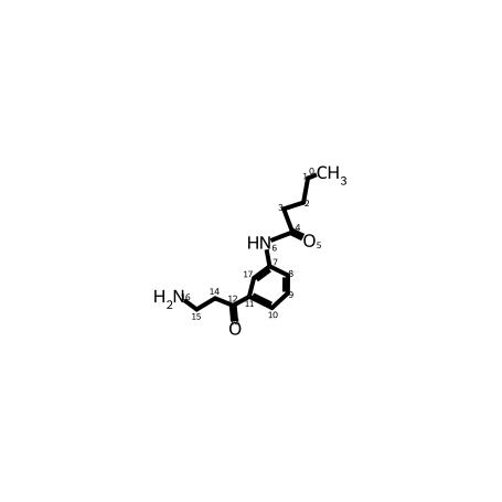 CCCCC(=O)Nc1cccc(C(=O)CCN)c1